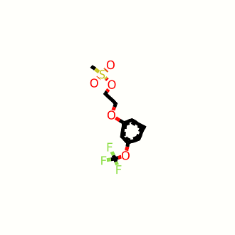 CS(=O)(=O)OCCOc1cccc(OC(F)(F)F)c1